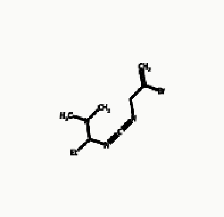 C=C(Br)CN=C=NC(CC)N(C)C